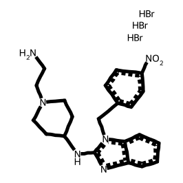 Br.Br.Br.NCCN1CCC(Nc2nc3ccccc3n2Cc2ccc([N+](=O)[O-])cc2)CC1